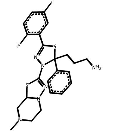 CN1CCN2N=C(N3N=C(c4cc(F)ccc4F)SC3(CCCN)c3ccccc3)SC2C1